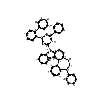 c1ccc(-c2nc(-c3ccccc3-c3ccccc3)nc(-n3c4ccccc4c4c5c(ccc43)CCC(c3ccccc3)c3ccccc3-5)n2)cc1